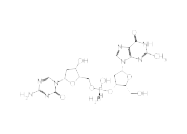 B[PH](O)(OC[C@H]1O[C@@H](n2cnc(N)nc2=O)C[C@H]1O)O[C@@H]1C[C@H](n2cnc3c(=O)[nH]c(C)nc32)O[C@@H]1CO